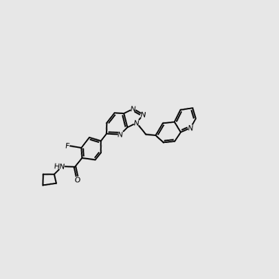 O=C(NC1CCC1)c1ccc(-c2ccc3nnn(Cc4ccc5ncccc5c4)c3n2)cc1F